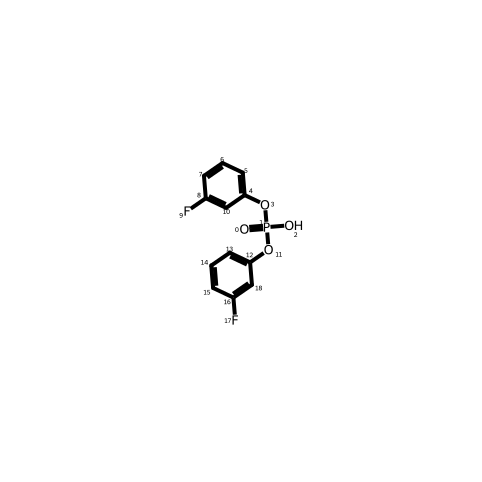 O=P(O)(Oc1cccc(F)c1)Oc1cccc(F)c1